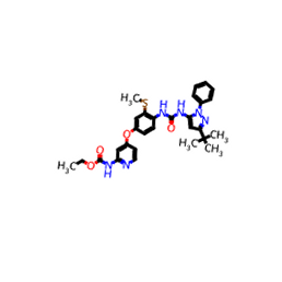 CCOC(=O)Nc1cc(Oc2ccc(NC(=O)Nc3cc(C(C)(C)C)nn3-c3ccccc3)c(SC)c2)ccn1